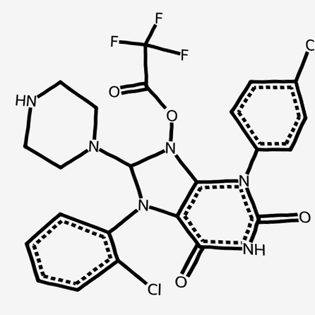 O=C(ON1c2c(c(=O)[nH]c(=O)n2-c2ccc(Cl)cc2)N(c2ccccc2Cl)C1N1CCNCC1)C(F)(F)F